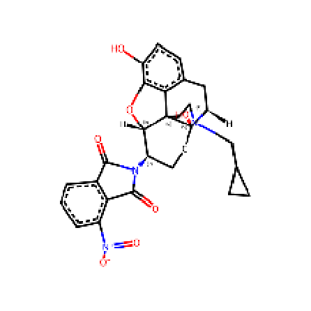 O=C1c2cccc([N+](=O)[O-])c2C(=O)N1[C@@H]1CC[C@@]2(O)[C@H]3Cc4ccc(O)c5c4[C@@]2(CCN3CC2CC2)[C@H]1O5